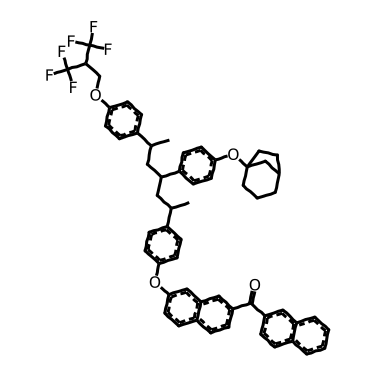 CC(CC(CC(C)c1ccc(Oc2ccc3ccc(C(=O)c4ccc5ccccc5c4)cc3c2)cc1)c1ccc(OC23CCCC(CC2)C3)cc1)c1ccc(OCC(C(F)(F)F)C(F)(F)F)cc1